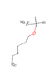 CCCCCCCCCCCCCOC(C)(CC)C(=O)O